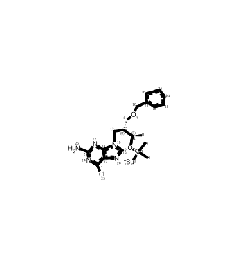 C[C@@H](O[Si](C)(C)C(C)(C)C)[C@@H](COCc1ccccc1)Cn1cnc2c(Cl)nc(N)nc21